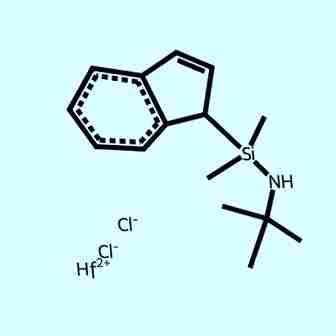 CC(C)(C)N[Si](C)(C)C1C=Cc2ccccc21.[Cl-].[Cl-].[Hf+2]